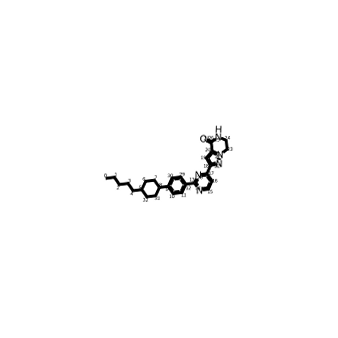 CCCCCC1CCC(c2ccc(-c3nccc(-c4cc5n(n4)CCNC5=O)n3)cc2)CC1